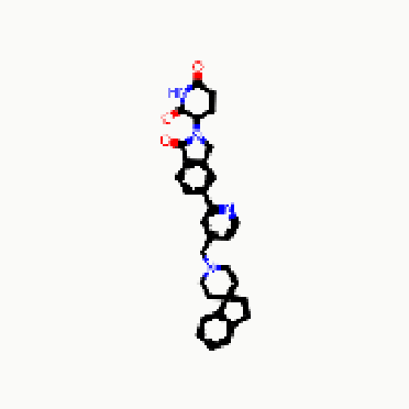 O=C1CCC(N2Cc3cc(-c4cc(CN5CCC6(CCc7ccccc76)CC5)ccn4)ccc3C2=O)C(=O)N1